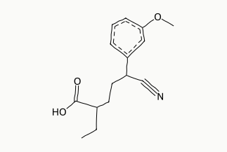 CCC(CCC(C#N)c1cccc(OC)c1)C(=O)O